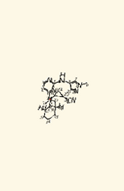 Cn1cc(Nc2nccc(N3C[C@H]4CCC[C@@H](C3)N4CC3C[C@H]3C#N)n2)cn1